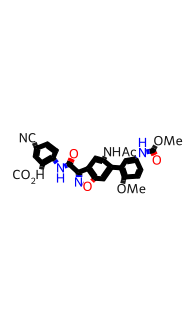 COC(=O)Nc1ccc(OC)c(-c2cc3onc(C(=O)Nc4ccc(C#N)cc4C(=O)O)c3cc2NC(C)=O)c1